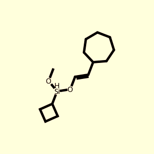 CO[SiH](OC=CC1CCCCCC1)C1CCC1